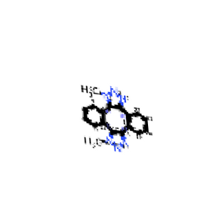 Cn1nnc2/c1=c1/cccc/c1=c1/c(nnn1C)=c1/cccc/c1=2